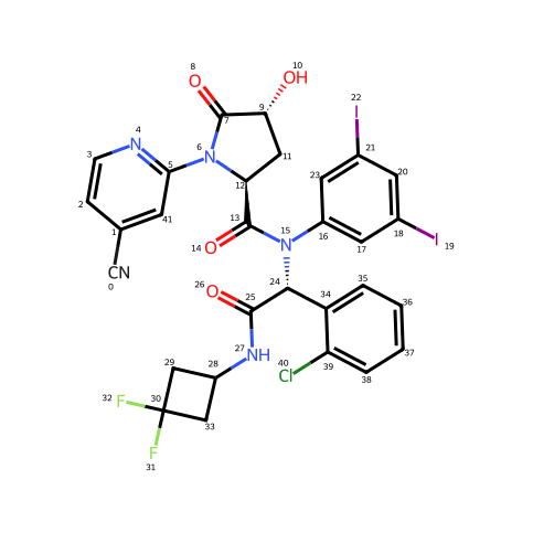 N#Cc1ccnc(N2C(=O)[C@H](O)C[C@H]2C(=O)N(c2cc(I)cc(I)c2)[C@@H](C(=O)NC2CC(F)(F)C2)c2ccccc2Cl)c1